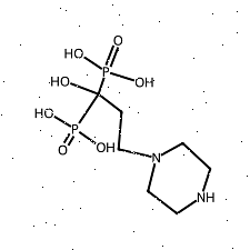 O=P(O)(O)C(O)(CCN1CCNCC1)P(=O)(O)O